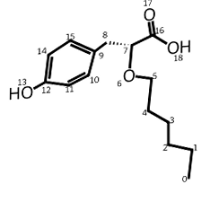 CCCCCCO[C@H](Cc1ccc(O)cc1)C(=O)O